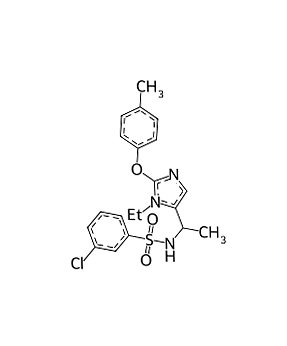 CCn1c(C(C)NS(=O)(=O)c2cccc(Cl)c2)cnc1Oc1ccc(C)cc1